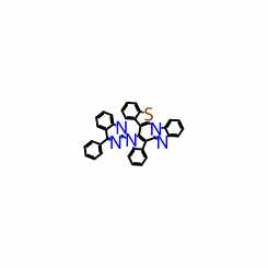 c1ccc(-c2nc(-n3c4ccccc4c4c3c3c5ccccc5sc3n3c5ccccc5nc43)nc3ccccc23)cc1